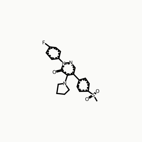 CS(=O)(=O)c1ccc(-c2cnn(-c3ccc(F)cc3)c(=O)c2N2CCCC2)cc1